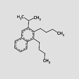 CCCCc1c(C(C)C)cc2ccccc2c1CCCC